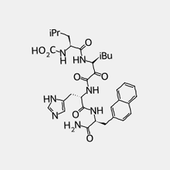 CC[C@H](C)C(NC(=O)[C@H](CC(C)C)NC(=O)O)C(=O)C(=O)N[C@@H](Cc1cnc[nH]1)C(=O)N[C@@H](Cc1ccc2ccccc2c1)C(N)=O